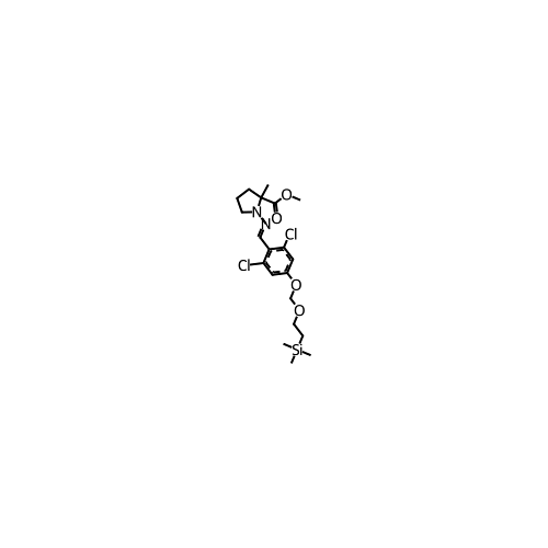 COC(=O)C1(C)CCCN1N=Cc1c(Cl)cc(OCOCC[Si](C)(C)C)cc1Cl